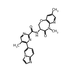 Cc1cnc2c(c1)OC[C@H](NC(=O)c1ncc(C)c(-c3ccc4nccn4c3)n1)C(=O)N2C